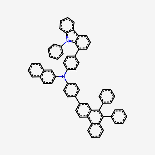 c1ccc(-c2c(-c3ccccc3)c3cc(-c4ccc(N(c5ccc(-c6cccc7c8ccccc8n(-c8ccccc8)c67)cc5)c5ccc6ccccc6c5)cc4)ccc3c3ccccc23)cc1